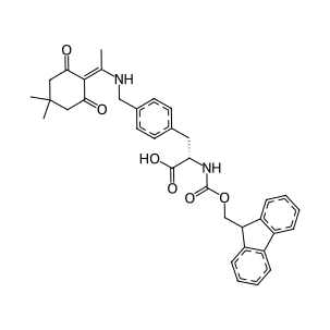 CC(NCc1ccc(C[C@H](NC(=O)OCC2c3ccccc3-c3ccccc32)C(=O)O)cc1)=C1C(=O)CC(C)(C)CC1=O